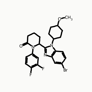 COC1CCC(n2c(C3CCCC(=O)N3c3ccc(F)c(F)c3)nc3cc(Br)ccc32)CC1